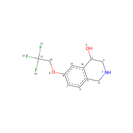 OC1CNCc2ccc(OCC(F)(F)F)cc21